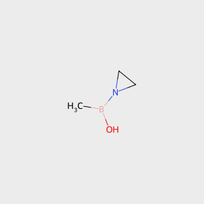 CB(O)N1CC1